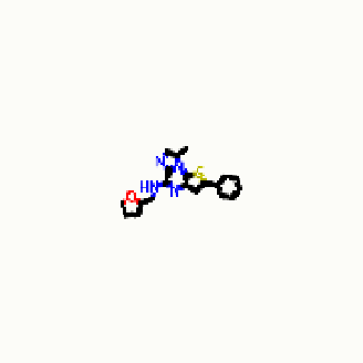 Cc1cnc2c(NCC3CCCO3)nc3cc(-c4ccccc4)sc3n12